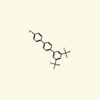 FC(F)(F)c1cc(-c2ccc(-c3ccc(Br)cc3)cc2)cc(C(F)(F)F)c1